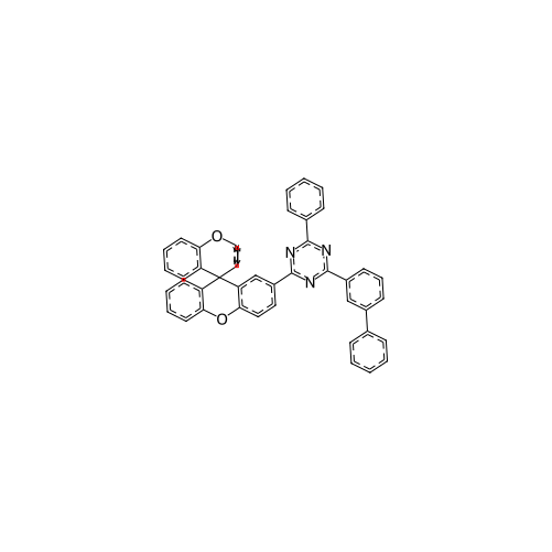 c1ccc(-c2cccc(-c3nc(-c4ccccc4)nc(-c4ccc5c(c4)C4(c6ccccc6Oc6ccccc64)c4ccccc4O5)n3)c2)cc1